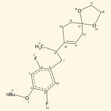 CCCCOc1cc(F)c(CC(C)C2=CCC3(CC2)OCCO3)cc1F